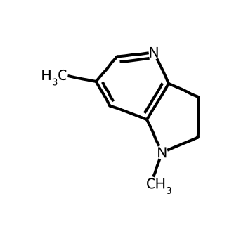 Cc1cnc2c(c1)N(C)CC2